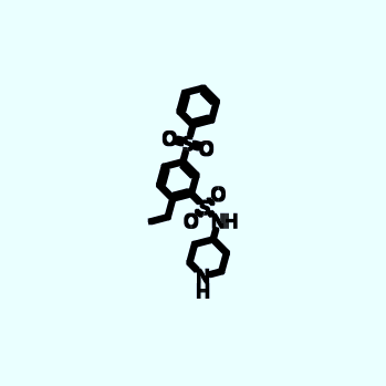 CCc1ccc(S(=O)(=O)c2ccccc2)cc1S(=O)(=O)NC1CCNCC1